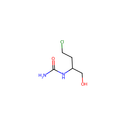 NC(=O)NC(CO)CCCl